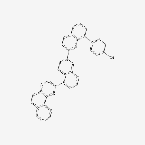 N#Cc1ccc(-c2cccc3ccc(-c4ccc5c(-c6ccc7ccc8cccnc8c7n6)cccc5c4)cc23)cc1